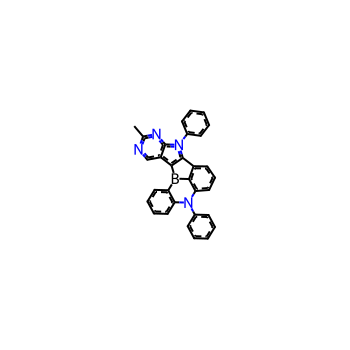 Cc1ncc2c3c(n(-c4ccccc4)c2n1)-c1cccc2c1B3c1ccccc1N2c1ccccc1